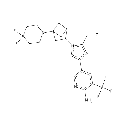 Nc1ncc(-c2cn(C3CC4(N5CCC(F)(F)CC5)CC3C4)c(CO)n2)cc1C(F)(F)F